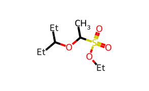 CCOS(=O)(=O)C(C)OC(CC)CC